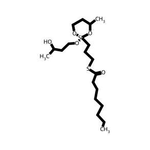 CCCCCCCC(=O)SCCC[Si]1(OCCC(C)O)OCCC(C)O1